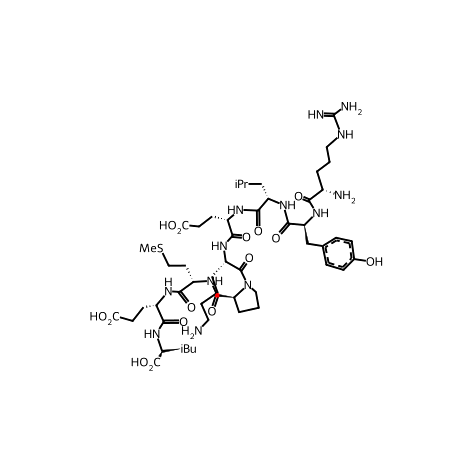 CC[C@H](C)[C@H](NC(=O)[C@H](CCC(=O)O)NC(=O)[C@H](CCSC)NC(=O)[C@@H]1CCCN1C(=O)[C@H](CCCCN)NC(=O)[C@H](CCC(=O)O)NC(=O)[C@H](CC(C)C)NC(=O)[C@H](Cc1ccc(O)cc1)NC(=O)[C@@H](N)CCCNC(=N)N)C(=O)O